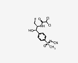 CS(=O)(=NC#N)c1ccc([C@@H](O)[C@@H](CF)NC(=O)C(Cl)Cl)cc1